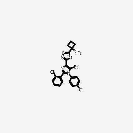 CCc1c(-c2nnc(C3(C(F)(F)F)CCC3)o2)nc(-c2ccccc2Cl)n1-c1ccc(Cl)cc1